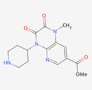 COC(=O)c1cnc2c(c1)n(C)c(=O)c(=O)n2C1CCNCC1